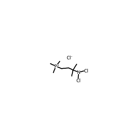 CC(C)(CC[P+](C)(C)C)N(Cl)Cl.[Cl-]